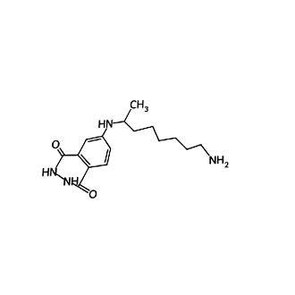 CC(CCCCCCN)Nc1ccc2c(=O)[nH][nH]c(=O)c2c1